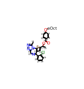 CCCCCCCCOc1ccc(C(=O)OC(C)c2cc3c(s2)-n2c(C)nnc2CN=C3c2ccccc2Cl)cc1